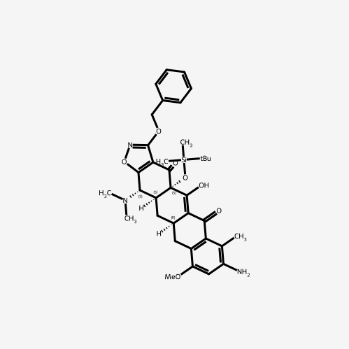 COc1cc(N)c(C)c2c1C[C@H]1C[C@H]3[C@H](N(C)C)c4onc(OCc5ccccc5)c4C(=O)[C@@]3(O[Si](C)(C)C(C)(C)C)C(O)=C1C2=O